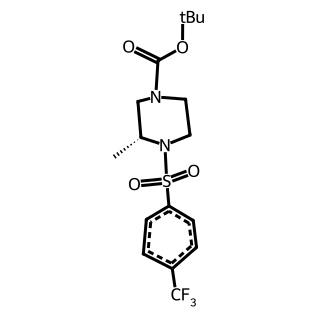 C[C@@H]1CN(C(=O)OC(C)(C)C)CCN1S(=O)(=O)c1ccc(C(F)(F)F)cc1